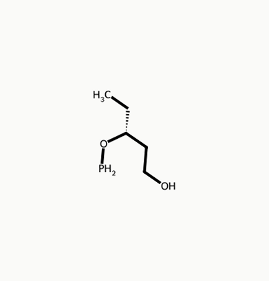 CC[C@H](CCO)OP